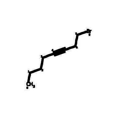 CCCCC#CCCBr